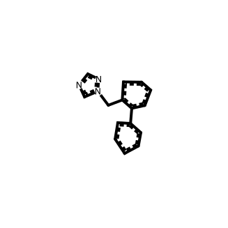 c1ccc(-c2ccccc2Cn2cncn2)cc1